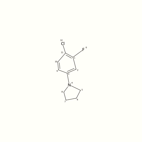 Fc1cc(N2CCCC2)ccc1Cl